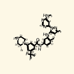 CNc1cc(-n2nc(C)cc2Nc2cc(NC(=O)c3cc(N4CCN(C)C[C@H]4C)cc(C(F)(F)F)c3)ccc2C)ncn1